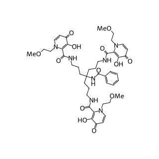 COCCn1ccc(=O)c(O)c1C(=O)NCCCC(CCCNC(=O)c1c(O)c(=O)ccn1CCOC)(CCCNC(=O)c1c(O)c(=O)ccn1CCOC)NC(=O)c1ccccc1